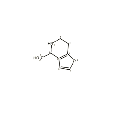 O=C(O)C1NCCc2occc21